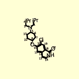 CC(C)CN(CC(C)C)[C@H]1CC[C@H](Oc2cc3cc[nH]c(=O)c3cc2Cl)CC1